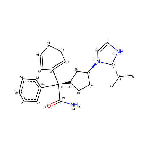 CC(C)[C@H]1NC=CN1[C@H]1CCC([C@](C(N)=O)(C2=CCCC=C2)c2ccccc2)C1